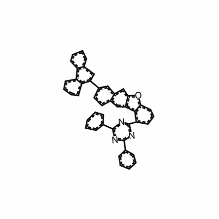 c1ccc(-c2nc(-c3ccccc3)nc(-c3cccc4oc5cc6cc(-c7cc8ccccc8c8ccccc78)ccc6cc5c34)n2)cc1